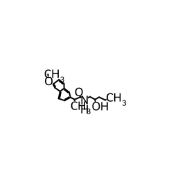 CCCC(O)CNC(=O)C(C)c1ccc2cc(OC)ccc2c1